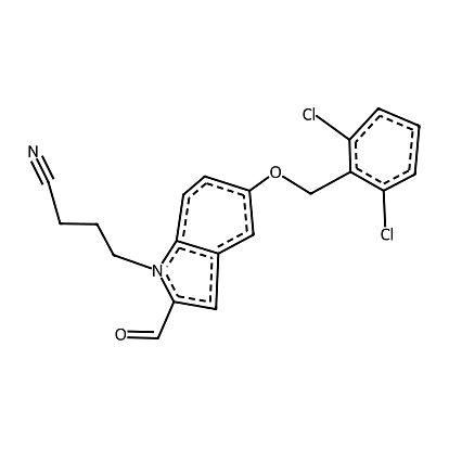 N#CCCCn1c(C=O)cc2cc(OCc3c(Cl)cccc3Cl)ccc21